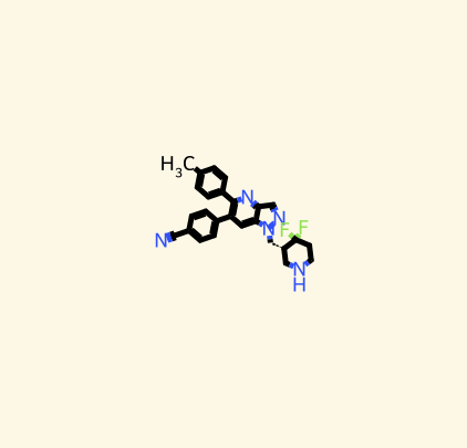 Cc1ccc(-c2nc3cnn(C[C@H]4CNCCC4(F)F)c3cc2-c2ccc(C#N)cc2)cc1